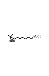 CCCCCCCCCCCCCCCC(C)(C)CCCC